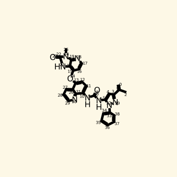 C=C(C)c1cc(NC(=O)Nc2ccc(Oc3ccnc4c3[nH]c(=O)n4C)c3cccnc23)n(-c2ccccc2)n1